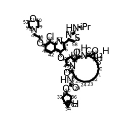 CC(C)Nc1nc(-c2cc(O[C@@H]3C[C@H]4C(=O)N[C@]5(C(=O)O)C[C@H]5CCCCCCC[C@H](NC(=O)O[C@H]5CC6=C[C@H]6C5)C(=O)N4C3)c3ccc(OCCN4CCOCC4)c(Cl)c3n2)cs1